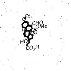 CCOC1=CC2=C(C=O)[C@@H](C(=O)OC)[C@@H]3[C@H](CC[C@@]4(C)[C@H]3CC[C@@]4(O)CCC(=O)O)[C@@]2(C)CC1